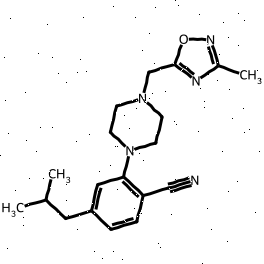 Cc1noc(CN2CCN(c3cc(CC(C)C)ccc3C#N)CC2)n1